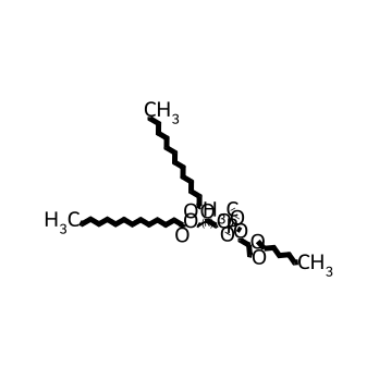 CCCCCCCCCCCCCC(=O)OC[C@H](COP(=O)(OC)OCC1COC(CCCCC)O1)OC(=O)CCCCCCCCCCCCC